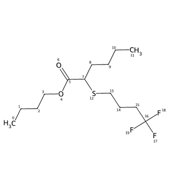 CCCCOC(=O)C(CCCC)SCCCC(F)(F)F